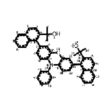 CC(C)(O)c1ccc2ccccc2c1-c1ccc2c(c1)Oc1cc(-c3c(C(C)(C)O)ccc4ccccc34)ccc1N2c1ccccc1